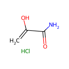 C=C(O)C(N)=O.Cl